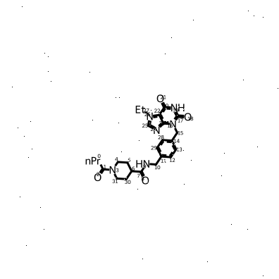 CCCC(=O)N1CCC(C(=O)NCc2ccc(Cn3c(=O)[nH]c(=O)c4c3ncn4CC)cc2)CC1